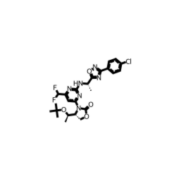 C[C@H](Nc1nc(C(F)F)cc(N2C(=O)OC[C@@H]2[C@@H](C)OC(C)(C)C)n1)c1nc(-c2ccc(Cl)cc2)no1